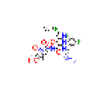 C[C@@H](O)[C@@H]1C(=O)N2C(C(=O)[O-])=C(CNC(=O)c3c(N4CCC(N)C4)n(-c4ccc(F)cc4F)c4ncc(F)cc4c3=O)C[C@H]12.[Na+]